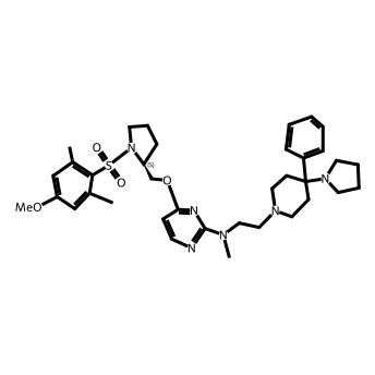 COc1cc(C)c(S(=O)(=O)N2CCC[C@H]2COc2ccnc(N(C)CCN3CCC(c4ccccc4)(N4CCCC4)CC3)n2)c(C)c1